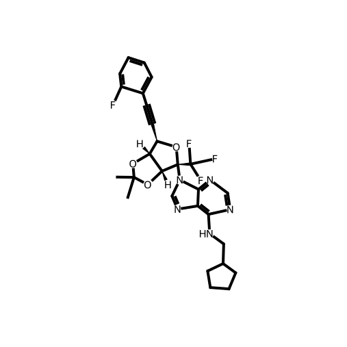 CC1(C)O[C@H]2[C@@H](O1)[C@](n1cnc3c(NCC4CCCC4)ncnc31)(C(F)(F)F)O[C@@H]2C#Cc1ccccc1F